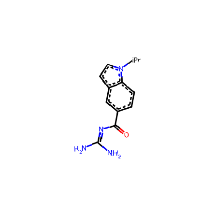 CC(C)n1ccc2cc(C(=O)N=C(N)N)ccc21